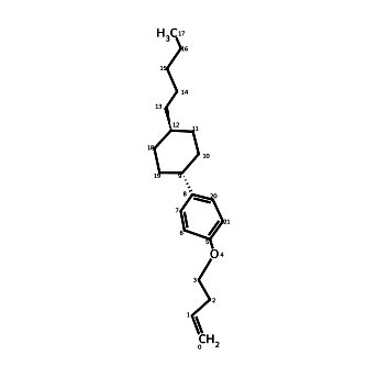 C=CCCOc1ccc([C@H]2CC[C@H](CCCCC)CC2)cc1